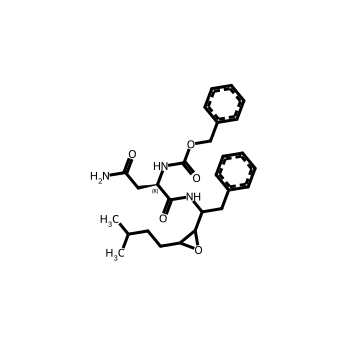 CC(C)CCC1OC1C(Cc1ccccc1)NC(=O)[C@@H](CC(N)=O)NC(=O)OCc1ccccc1